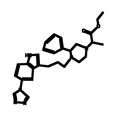 CCOC(=O)C(C)N1CCN(CCCc2c[nH]c3ccc(-n4cnnc4)cc23)C(c2ccccc2)C1